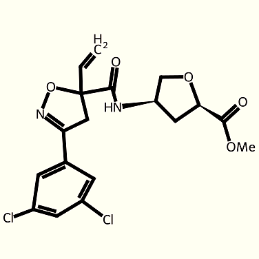 C=CC1(C(=O)N[C@H]2CO[C@@H](C(=O)OC)C2)CC(c2cc(Cl)cc(Cl)c2)=NO1